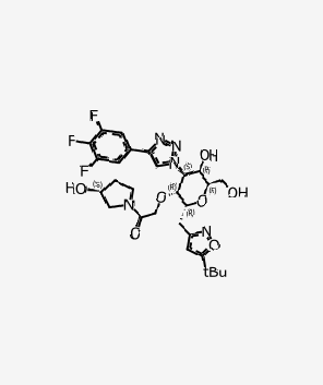 CC(C)(C)c1cc(C[C@H]2O[C@H](CO)[C@H](O)[C@H](n3cc(-c4cc(F)c(F)c(F)c4)nn3)[C@H]2OCC(=O)N2CC[C@H](O)C2)no1